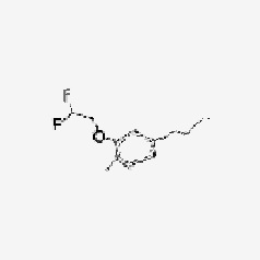 [CH2]CCc1ccc(C)c(OCC(F)F)c1